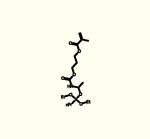 C=C(C)C(=O)OCCCOC(=O)NC(C)O[Si](CCC)(OCC)OCC